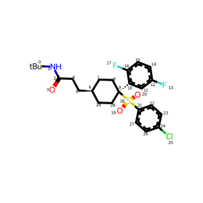 CC(C)(C)NC(=O)CC[C@H]1CC[C@@](c2cc(F)ccc2F)(S(=O)(=O)c2ccc(Cl)cc2)CC1